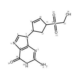 Nc1nc2c(ncn2C2C=CC(S(=O)(=O)CO)C2)c(=O)[nH]1